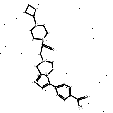 CC(=O)c1ccc(-c2cnc3n2CCN(CC(=O)N2CCN(C4CCC4)CC2)C3)cc1